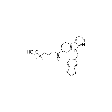 CC(C)(CCCC(=O)N1CCc2c(n(Cc3ccc4sccc4c3)c3ncccc23)C1)C(=O)O